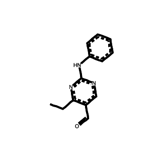 CCc1nc(Nc2ccccc2)ncc1C=O